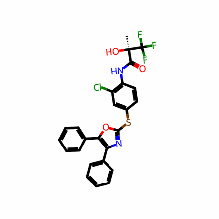 C[C@@](O)(C(=O)Nc1ccc(Sc2nc(-c3ccccc3)c(-c3ccccc3)o2)cc1Cl)C(F)(F)F